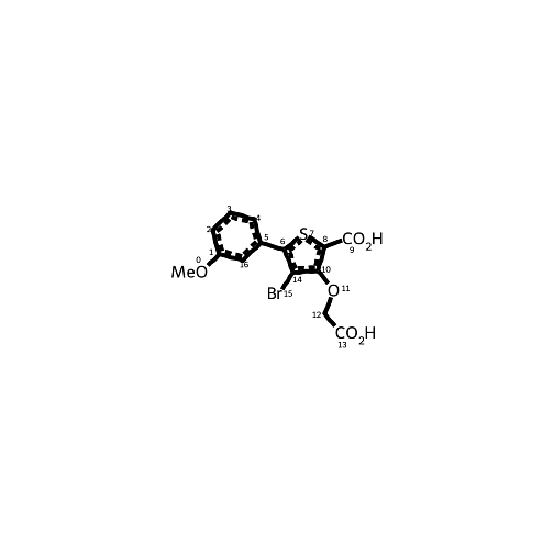 COc1cccc(-c2sc(C(=O)O)c(OCC(=O)O)c2Br)c1